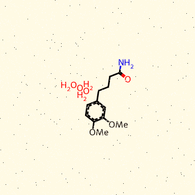 COc1ccc(CCCC(N)=O)cc1OC.O.O.O